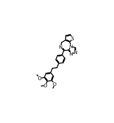 COc1cc(CCc2ccc(C3=NCc4ccsc4-n4cnnc43)cc2)cc(OC)c1OC